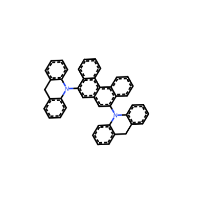 c1ccc2c(c1)Cc1ccccc1N2c1cc2cc(N3c4ccccc4Cc4ccccc43)c3ccccc3c2c2ccccc12